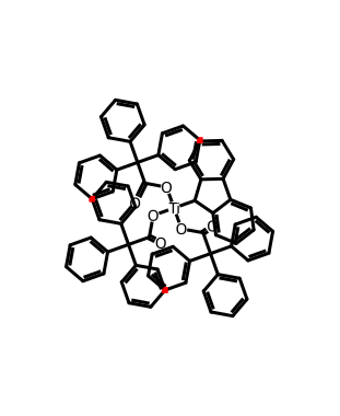 O=C([O][Ti]([O]C(=O)C(c1ccccc1)(c1ccccc1)c1ccccc1)([O]C(=O)C(c1ccccc1)(c1ccccc1)c1ccccc1)[CH]1c2ccccc2-c2ccccc21)C(c1ccccc1)(c1ccccc1)c1ccccc1